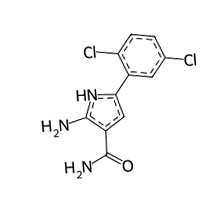 NC(=O)c1cc(-c2cc(Cl)ccc2Cl)[nH]c1N